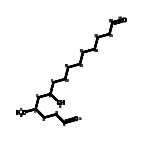 CC(CCC=O)CC(O)CCCCCCCCC=O